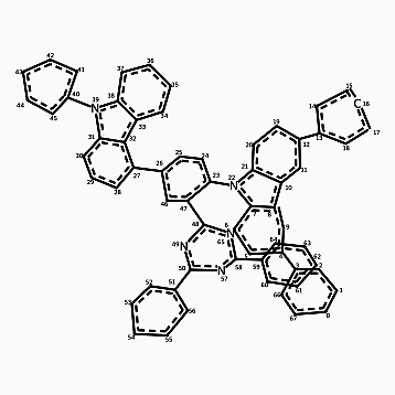 c1ccc(-c2ccc3c(c2)c2cc(-c4ccccc4)ccc2n3-c2ccc(-c3cccc4c3c3ccccc3n4-c3ccccc3)cc2-c2nc(-c3ccccc3)nc(-c3ccccc3)n2)cc1